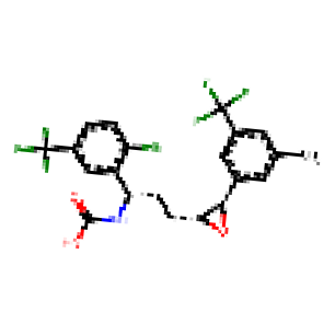 Cc1cc([C@H]2O[C@@H]2CC[C@H](NC(=O)O)c2cc(C(F)(F)F)ccc2Br)cc(C(F)(F)F)c1